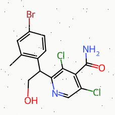 Cc1cc(Br)ccc1C(CO)c1ncc(Cl)c(C(N)=O)c1Cl